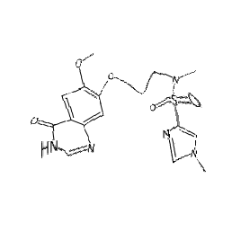 COc1cc2c(=O)[nH]cnc2cc1OCCN(C)S(=O)(=O)c1cn(C)cn1